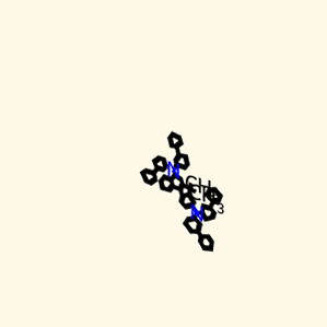 CC1(C)c2cc(N(c3cccc(-c4ccccc4)c3)c3cccc(-c4ccccc4)c3)ccc2-c2c1cc(N(c1cccc(-c3ccccc3)c1)c1cccc(-c3ccccc3)c1)c1ccccc21